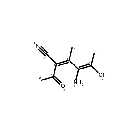 CC(=O)/C(C#N)=C(C)\C(N)=C(/C)O